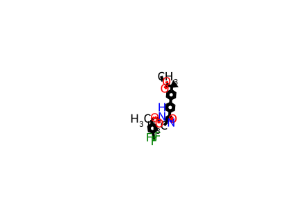 CCOC(=O)C1(c2ccc(-c3ccc(-c4onc(C)c4NC(=O)OC(C)c4ccc(C(F)(F)F)cc4)cc3)cc2)CC1